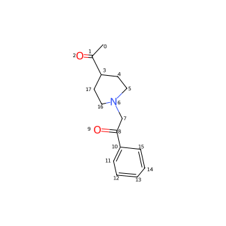 CC(=O)C1CCN(CC(=O)c2ccccc2)CC1